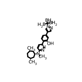 BC(B)(B)n1cc(-c2ccc(-c3ccc(N(C)[C@H]4C[C@H](C)CC[C@H](C)C4)nn3)c(O)c2)cn1